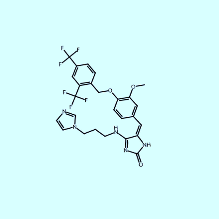 COc1cc(C=C2NC(=O)N=C2NCCCn2ccnc2)ccc1OCc1ccc(C(F)(F)F)cc1C(F)(F)F